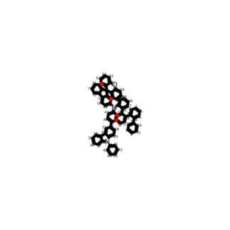 c1ccc(-c2ccccc2-c2ccccc2-c2ccccc2N(c2ccc(-c3ccc4c(c3)c3ccccc3n4-c3ccccc3)cc2)c2ccc3c(c2)C2(c4ccccc4Oc4ccccc42)c2ccccc2-3)cc1